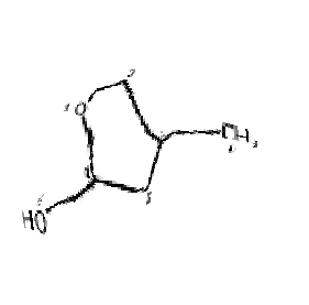 CC1COC(O)C1